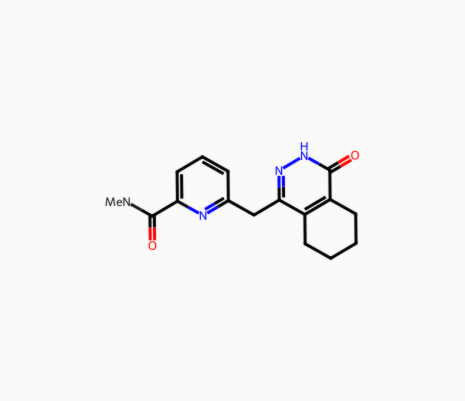 CNC(=O)c1cccc(Cc2n[nH]c(=O)c3c2CCCC3)n1